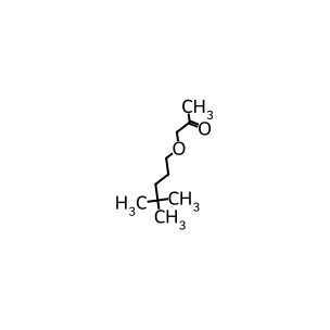 CC(=O)COCCCC(C)(C)C